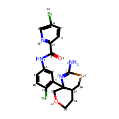 NC1=NC2(c3cc(NC(=O)c4ccc(Br)cn4)ccc3F)COCCC2CS1